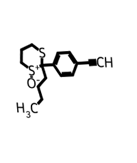 C#Cc1ccc(C2(CCCC)SCCC[S+]2[O-])cc1